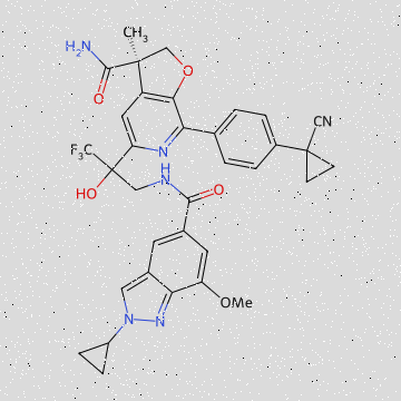 COc1cc(C(=O)NCC(O)(c2cc3c(c(-c4ccc(C5(C#N)CC5)cc4)n2)OC[C@]3(C)C(N)=O)C(F)(F)F)cc2cn(C3CC3)nc12